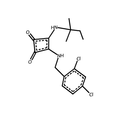 CCC(C)(C)Nc1c(NCc2ccc(Cl)cc2Cl)c(=O)c1=O